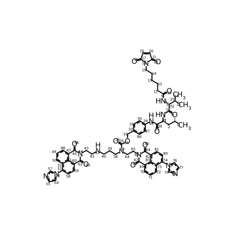 CCC[C@H](NC(=O)[C@@H](NC(=O)CCCCCN1C(=O)C=CC1=O)C(C)C)C(=O)Nc1ccc(COC(=O)N(CCCNCCN2C(=O)c3cccc4c(-n5ccnc5)ccc(c34)C2=O)CCN2C(=O)c3cccc4c(-n5ccnc5)ccc(c34)C2=O)cc1